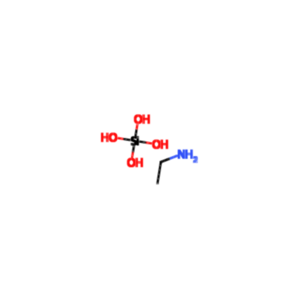 CCN.O[Si](O)(O)O